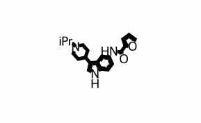 CC(C)N1CCC(c2c[nH]c3ccc(NC(=O)c4ccco4)cc23)CC1